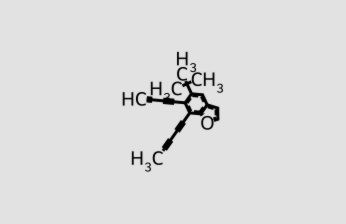 C#CC#Cc1c(C(C)(C)C)cc2ccoc2c1C#CC#CC